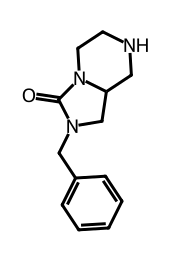 O=C1N(Cc2ccccc2)CC2CNCCN12